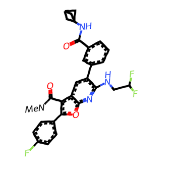 CNC(=O)c1c(-c2ccc(F)cc2)oc2nc(NCC(F)F)c(-c3cccc(C(=O)NC45CC(C4)C5)c3)cc12